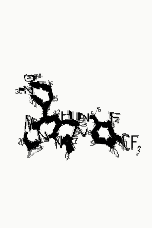 Cc1nc(N[C@H](C)c2cccc(C(F)(F)F)c2F)c2c(n1)N1CCN=C1C(c1ccc(=O)n(C)c1)=C2